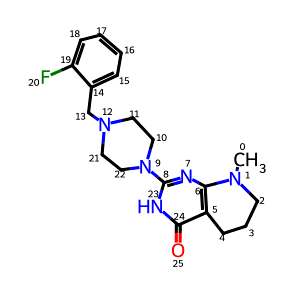 CN1CCCc2c1nc(N1CCN(Cc3ccccc3F)CC1)[nH]c2=O